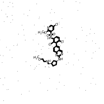 COCCNC[C@@H]1CC[C@@H](Nc2ncc3cc(-c4c(Cl)ccc(NS(=O)(=O)c5cc(Cl)cnc5OC)c4Cl)ccc3n2)C1